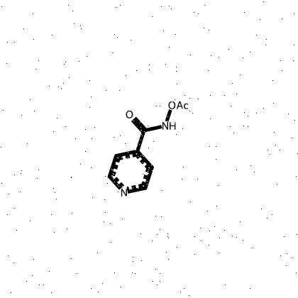 CC(=O)ONC(=O)c1ccncc1